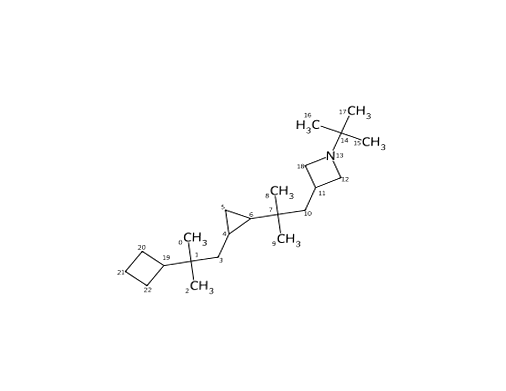 CC(C)(CC1CC1C(C)(C)CC1CN(C(C)(C)C)C1)C1CCC1